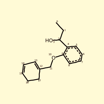 CCC(O)c1ccccc1OCC1=CC=C[C][C]1